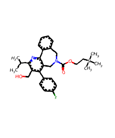 CC(C)c1nc2c(c(-c3ccc(F)cc3)c1CO)CN(C(=O)OCC[Si](C)(C)C)Cc1ccccc1-2